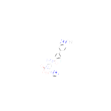 Cn1ncc2cc(-c3ccc(C(=O)N[C@@H]4C[C@@H](Cn5ccnn5)N(C(=O)O)C4)c(F)c3)ccc21